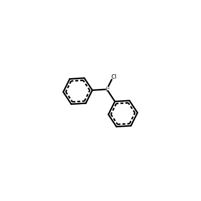 Cl[I+](c1ccccc1)c1ccccc1